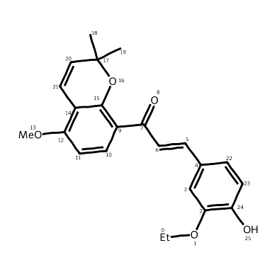 CCOc1cc(C=CC(=O)c2ccc(OC)c3c2OC(C)(C)C=C3)ccc1O